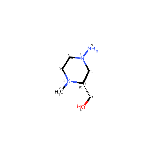 CN1CCN(N)C[C@@H]1CO